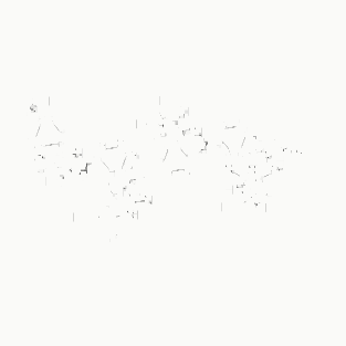 CCC1(CC)CC(=O)N([C@@H]2CC(c3cccc4c3OC(C)(C)[C@@H](O)[C@@H]4NC(=O)c3ccc4c(c3)C(N3C(=N)NC(C)(C)CC3=O)C(C)(COC)O4)Oc3ccc(C(=O)NC4c5ccc(OC)cc5OCC4(C)O)cc32)C(=N)N1